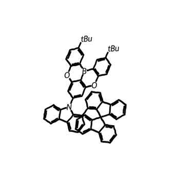 CC(C)(C)c1ccc2c(c1)B1c3cc(C(C)(C)C)ccc3Oc3cc(-n4c5ccccc5c5cccc(-c6cccc7c6C6(c8ccccc8-c8ccccc86)c6ccccc6-7)c54)cc(c31)O2